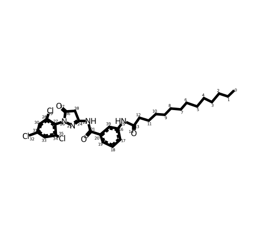 CCCCCCCCCCCCCC(=O)Nc1cccc(C(=O)NC2=NN(c3c(Cl)cc(Cl)cc3Cl)C(=O)C2)c1